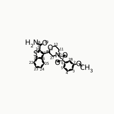 COc1cccc(S(=O)(=O)N2CCO[C@H](c3c(C(N)=O)sc4ccccc34)C2)c1